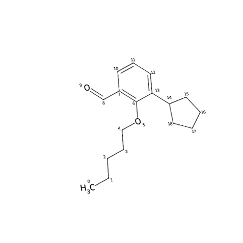 CCCCCOc1c(C=O)cccc1C1CCCC1